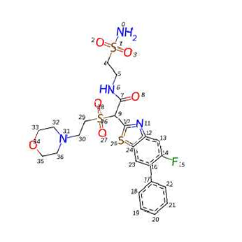 NS(=O)(=O)CCNC(=O)C(c1nc2cc(F)c(-c3ccccc3)cc2s1)S(=O)(=O)CCN1CCOCC1